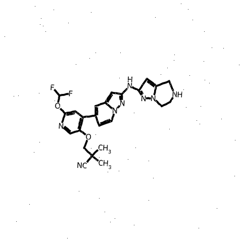 CC(C)(C#N)COc1cnc(OC(F)F)cc1-c1ccn2nc(Nc3cc4n(n3)CCNC4)cc2c1